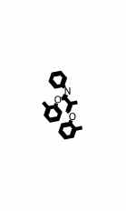 CC(=C\Oc1ccccc1C)/C(=N/c1ccccc1)Oc1ccccc1C